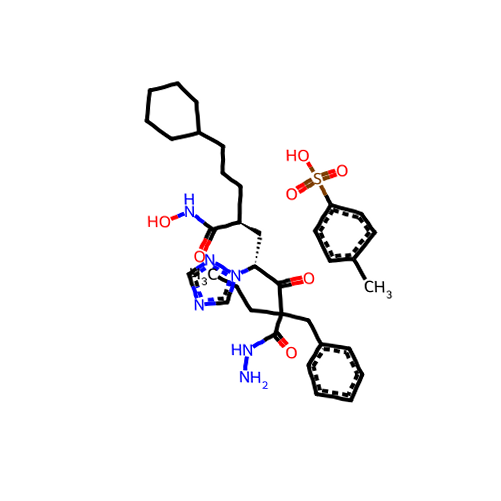 CCCC(Cc1ccccc1)(C(=O)NN)C(=O)[C@@H](C[C@H](CCCC1CCCCC1)C(=O)NO)n1cncn1.Cc1ccc(S(=O)(=O)O)cc1